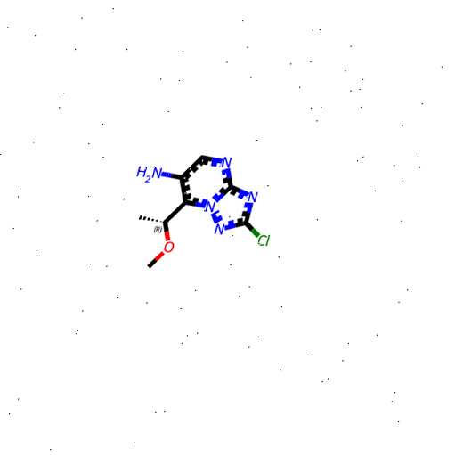 CO[C@H](C)c1c(N)cnc2nc(Cl)nn12